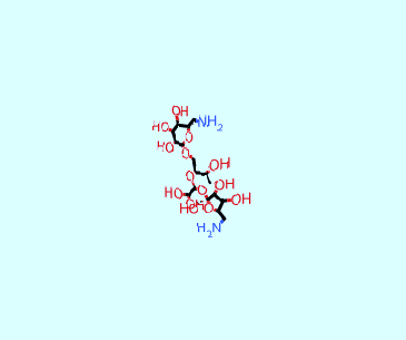 C[C@H](O)C(COC1OC(CN)C(O)C(O)C1O)OC(O[C@]1(CO)OC(CN)C(O)C1O)C(O)O